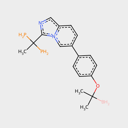 BC(C)(C)Oc1ccc(-c2ccc3cnc(C(C)(P)P)n3c2)cc1